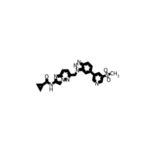 CS(=O)(=O)c1cncc(-c2ccc3nnn(Cc4ccc5nc(NC(=O)C6CC6)cn5n4)c3c2)c1